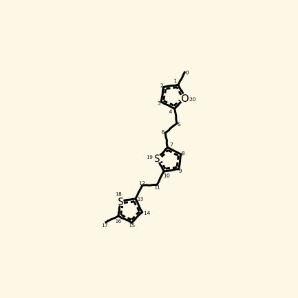 Cc1ccc(CCc2ccc(CCc3ccc(C)s3)s2)o1